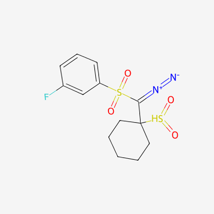 [N-]=[N+]=C(C1([SH](=O)=O)CCCCC1)S(=O)(=O)c1cccc(F)c1